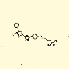 Cn1nc(-c2nc(-c3ccc(CNCCCP(=O)(O)O)cc3)no2)cc1-c1ccccc1